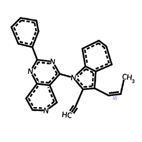 C#Cc1c(/C=C\C)c2ccccc2n1-c1nc(-c2ccccc2)nc2ccncc12